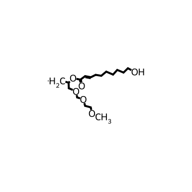 [CH2]C(COCOCCOC)OC(=O)C=CCCCCCCCO